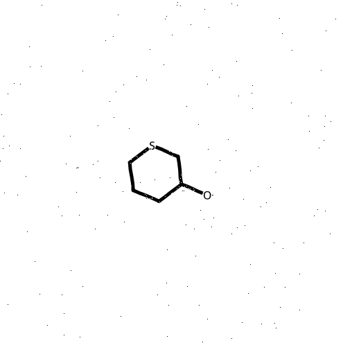 [O]C1CCCSC1